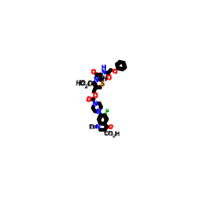 CCn1cc(C(=O)O)c(=O)c2cc(F)c(N3CCN(C(=O)OCC4=C(C(=O)O)N5C(=O)[C@H](NC(=O)COc6ccccc6)[C@@H]5SC4)CC3)cc21